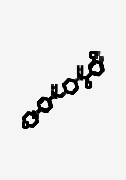 O=C(N[C@H]1CC[C@H](CNc2ccc(N3CCOCC3)cc2)CC1)c1cccc(C(F)(F)F)c1